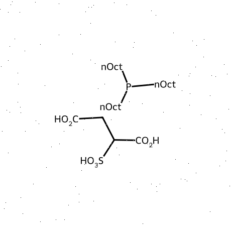 CCCCCCCCP(CCCCCCCC)CCCCCCCC.O=C(O)CC(C(=O)O)S(=O)(=O)O